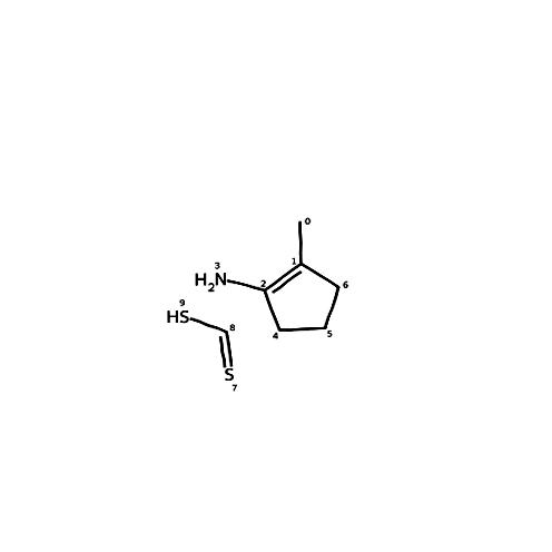 CC1=C(N)CCC1.S=CS